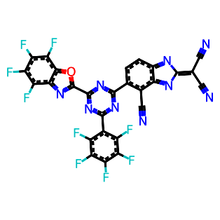 N#CC(C#N)=C1N=c2ccc(-c3nc(-c4nc5c(F)c(F)c(F)c(F)c5o4)nc(-c4c(F)c(F)c(F)c(F)c4F)n3)c(C#N)c2=N1